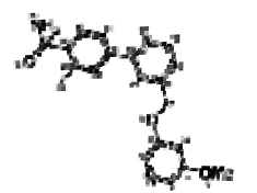 COc1cncc(OCc2ccnc(-c3ccc(C(N)=O)c(C)c3)c2)c1